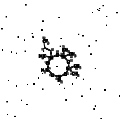 C[Si]1(C)O[SiH2]O[SiH2]O[Si](C)(CCC(F)(F)F)O[Si](C)(C)O1